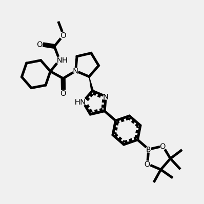 COC(=O)NC1(C(=O)N2CCC[C@H]2c2nc(-c3ccc(B4OC(C)(C)C(C)(C)O4)cc3)c[nH]2)CCCCC1